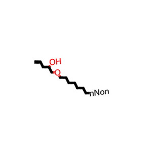 C=CCC(O)COCCCCCCCCCCCCCCCC